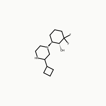 O[C@@H]1[C@@H](N2CCNC(C3CCC3)C2)CCCC1(F)F